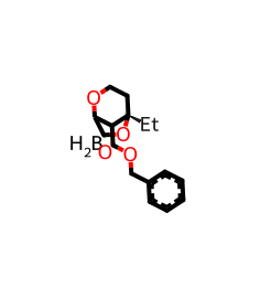 B[C@@H]1O[C@@]2(CC)CCOC1C2C(=O)OCc1ccccc1